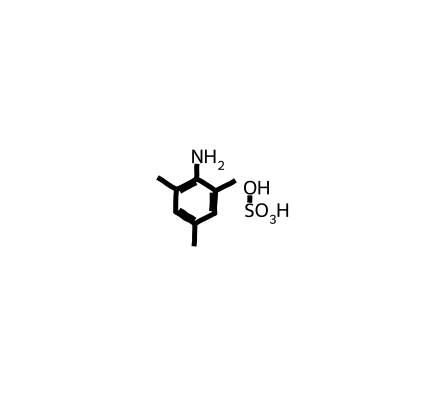 Cc1cc(C)c(N)c(C)c1.O=S(=O)(O)O